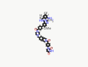 COc1cc2nc(C)nc(N[C@H](C)c3cc(N)cc(C(F)(F)F)c3)c2cc1C1CCC(C(=O)N2CCN(CC3CCC4(CC3)CCN(C(=O)c3ccc(-n5ccc(=O)[nH]c5=O)cc3)CC4)CC2)CC1